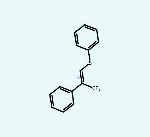 FC(F)(F)/C(=C\Sc1ccccc1)c1ccccc1